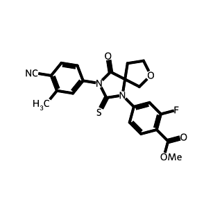 COC(=O)c1ccc(N2C(=S)N(c3ccc(C#N)c(C)c3)C(=O)C23CCOC3)cc1F